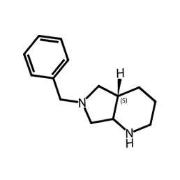 c1ccc(CN2CC3NCCC[C@H]3C2)cc1